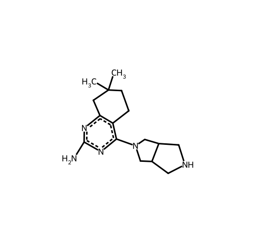 CC1(C)CCc2c(nc(N)nc2N2CC3CNCC3C2)C1